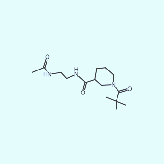 CC(=O)NCCNC(=O)C1CCCN(C(=O)C(C)(C)C)C1